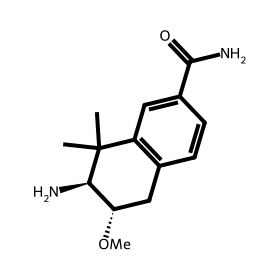 CO[C@H]1Cc2ccc(C(N)=O)cc2C(C)(C)[C@@H]1N